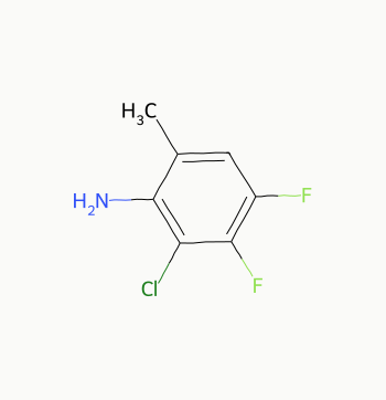 Cc1cc(F)c(F)c(Cl)c1N